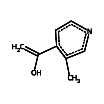 C=C(O)c1ccncc1C